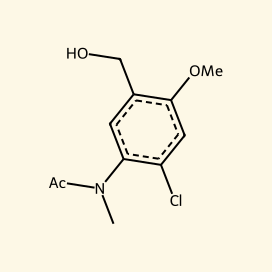 COc1cc(Cl)c(N(C)C(C)=O)cc1CO